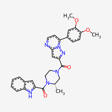 COc1ccc(-c2ccnc3cc(C(=O)N4CCN(C(=O)c5cc6ccccc6[nH]5)[C@@H](C)C4)nn23)cc1OC